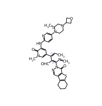 C=N/C(=C(C=O)\C(=C/C)c1cc(Nc2ccc(N3CCN(C4COC4)C[C@@H]3C)cn2)c(=O)n(C)c1)n1ncc2c3c(sc2c1=O)CCCC3